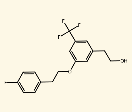 OCCc1cc(OCCc2ccc(F)cc2)cc(C(F)(F)F)c1